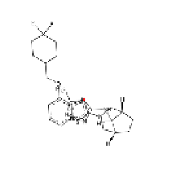 Cc1nsc(N2C[C@H]3CC[C@@H](C2)[C@@H]3Nc2nc3c(OCC4CCC(F)(F)CC4)cccn3n2)n1